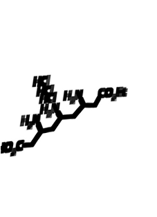 CCOC(=O)CC(N)CC(N)CC(N)CC(=O)O.Cl.Cl.Cl